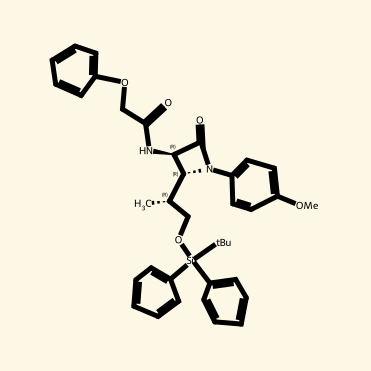 COc1ccc(N2C(=O)[C@H](NC(=O)COc3ccccc3)[C@H]2[C@@H](C)CO[Si](c2ccccc2)(c2ccccc2)C(C)(C)C)cc1